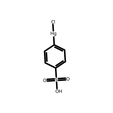 O=S(=O)(O)c1cc[c]([Hg][Cl])cc1